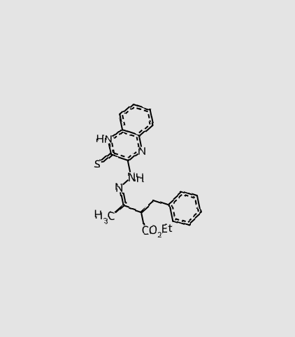 CCOC(=O)C(Cc1ccccc1)C(C)=NNc1nc2ccccc2[nH]c1=S